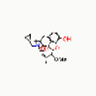 C=C(C)C(OC)[C@@H]1Oc2c(O)ccc3c2[C@@]12CCN(CC1CC1)[C@H](C3)[C@H]2O